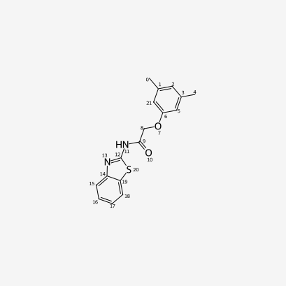 Cc1cc(C)cc(OCC(=O)Nc2nc3ccccc3s2)c1